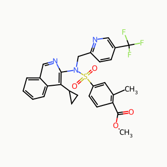 COC(=O)c1ccc(S(=O)(=O)N(Cc2ccc(C(F)(F)F)cn2)c2ncc3ccccc3c2C2CC2)cc1C